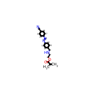 C=C(C)C(=O)OCCNCc1ccc(N=Nc2ccc(C#N)cc2)cc1